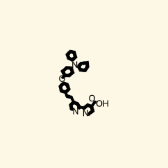 O=C(O)c1ccnc(-c2cc(/C=C/c3ccc(Oc4ccc(N(c5ccccc5)c5ccccc5)cc4)cc3)ccn2)c1